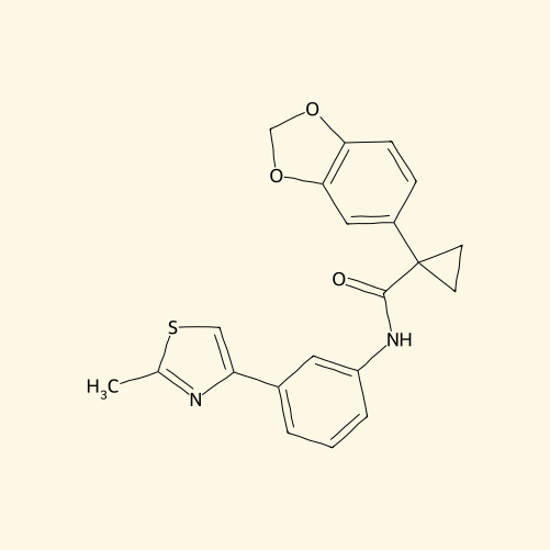 Cc1nc(-c2cccc(NC(=O)C3(c4ccc5c(c4)OCO5)CC3)c2)cs1